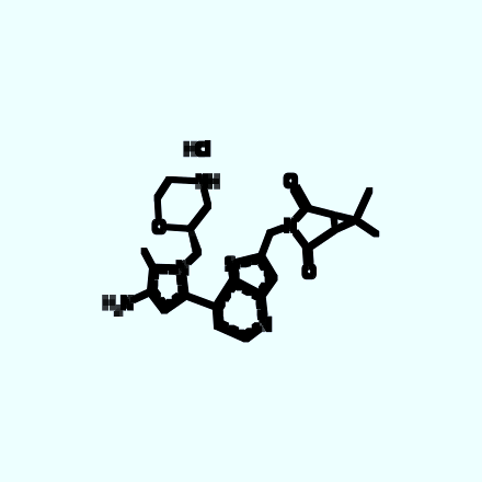 Cc1c(N)cc(-c2ccnc3cc(CN4C(=O)C5C(C4=O)C5(C)C)sc23)n1C[C@@H]1CNCCO1.Cl